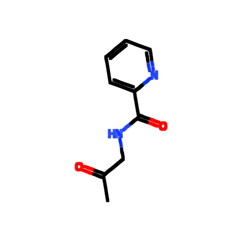 CC(=O)CNC(=O)c1ccccn1